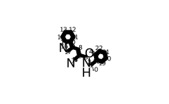 C[C@H](NC(=O)/C(C#N)=C/C1=c2ccccc2=NC1)c1ccccc1